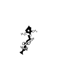 Cc1c[c]cc(C)c1OCC(O)CS(=O)(=O)c1nnc(C2CC2)[nH]1